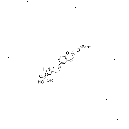 CCCCCOC[C@@H]1COc2cc([C@H]3CC[C@@](N)(COP(=O)(O)O)C3)ccc2O1